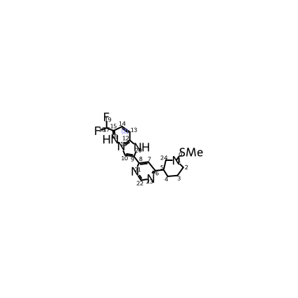 CSN1CCCC(c2cc(-c3cnc(/C=C\C(=N)C(F)F)[nH]3)ncn2)C1